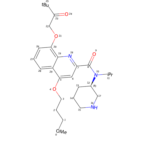 COCCCOc1cc(C(=O)N(C(C)C)[C@@H]2CCCNC2)nc2c(OCC(=O)C(C)(C)C)cccc12